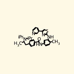 Cc1ccc(NC(=O)c2ccc(CC(C)N(C(C)C)C(C)C)cc2)cc1Nc1nc(-c2cccnc2)cs1